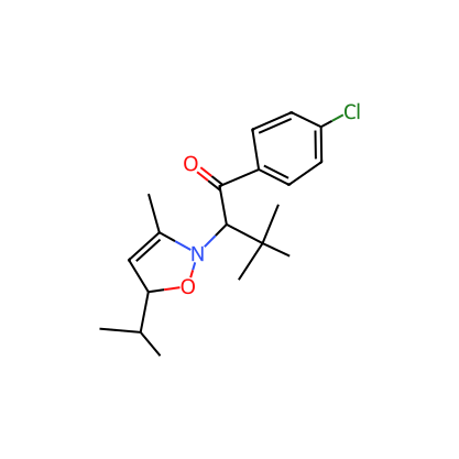 CC1=CC(C(C)C)ON1C(C(=O)c1ccc(Cl)cc1)C(C)(C)C